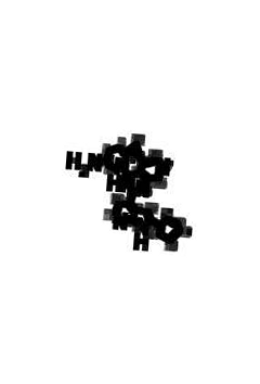 N[C@H]1CCCN(C2NC(c3ccnc4[nH]c(-c5ccccc5)cc34)=Nc3cncc(C4CC4)c32)C1